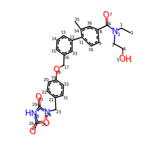 CCN(CCO)C(=O)c1ccc(-c2cccc(COc3ccc(Cn4oc(=O)[nH]c4=O)cc3)c2)c(C)c1